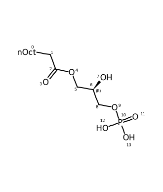 CCCCCCCCCC(=O)OC[C@@H](O)COP(=O)(O)O